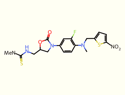 CNC(=S)NCC1CN(c2ccc(N(C)Cc3ccc([N+](=O)[O-])s3)c(F)c2)C(=O)O1